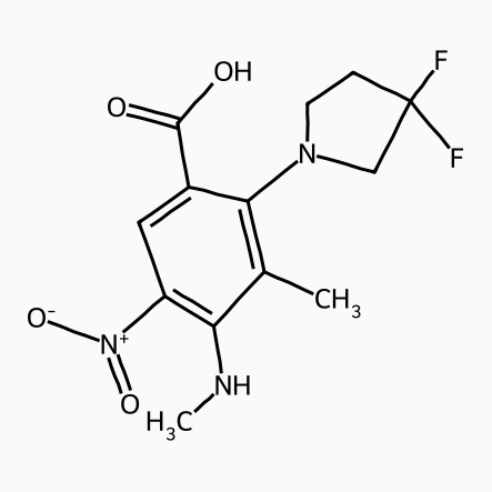 CNc1c([N+](=O)[O-])cc(C(=O)O)c(N2CCC(F)(F)C2)c1C